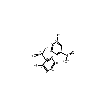 O=[N+]([O-])c1cccc(F)c1.O=[N+]([O-])c1ccccc1F